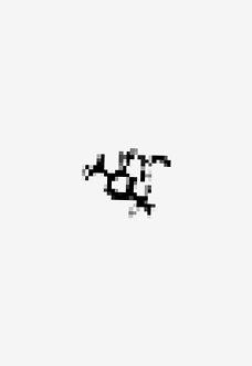 CCN/N=N\c1cc(C(F)(F)F)ccc1C(C)=O